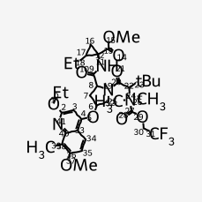 CCOc1cc(OC2CC(C(=O)NC3(C(=O)OC)CC3CC)N(C(=O)C(C(C)(C)C)[N+](C)(C)C(=O)OCC(F)(F)F)C2)c2ccc(OC)c(C)c2n1